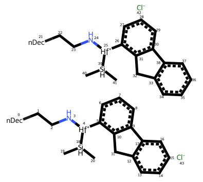 CCCCCCCCCCCC[NH][Hf+]([c]1cccc2c1Cc1ccccc1-2)[SiH](C)C.CCCCCCCCCCCC[NH][Hf+]([c]1cccc2c1Cc1ccccc1-2)[SiH](C)C.[Cl-].[Cl-]